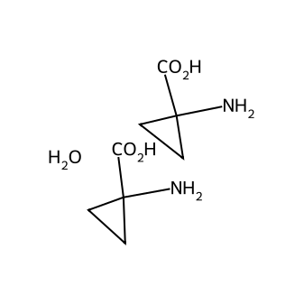 NC1(C(=O)O)CC1.NC1(C(=O)O)CC1.O